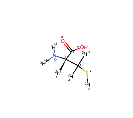 [2H]SC([2H])([2H])[C@@]([2H])(C(=O)O)N([2H])[2H]